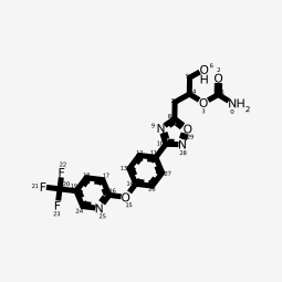 NC(=O)OC(CO)Cc1nc(-c2ccc(Oc3ccc(C(F)(F)F)cn3)cc2)no1